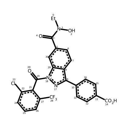 CCN(O)C(=O)c1ccc2c(-c3ccc(C(=O)O)cc3)nn(C(=O)c3c(Cl)cccc3C(F)(F)F)c2c1